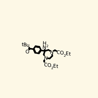 CCOC(=O)CN1CCN(CC(=O)OCC)CC(N)(c2ccc(C(=O)C(C)(C)C)cc2)C1